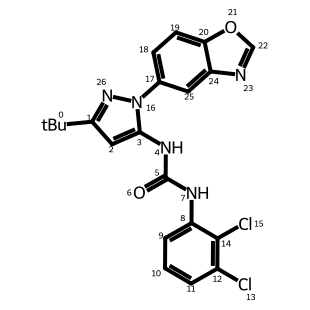 CC(C)(C)c1cc(NC(=O)Nc2cccc(Cl)c2Cl)n(-c2ccc3ocnc3c2)n1